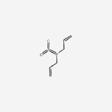 C=CC[N+](CC=C)=S(=O)=O